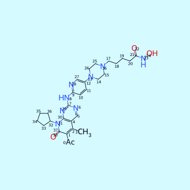 CC(=O)c1c(C)c2cnc(Nc3ccc(N4CCN(CCCCC(=O)NO)CC4)cn3)nc2n(C2CCCC2)c1=O